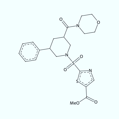 COC(=O)c1cnc(S(=O)(=O)N2CC(C(=O)N3CCOCC3)CC(c3ccccc3)C2)s1